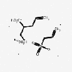 C=CCC(CC(=O)O)C(=O)O.C=CCS(=O)(=O)[O-].[Na+]